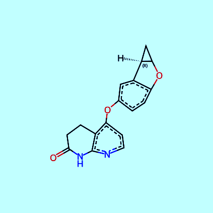 O=C1CCc2c(Oc3ccc4c(c3)[C@H]3CC3O4)ccnc2N1